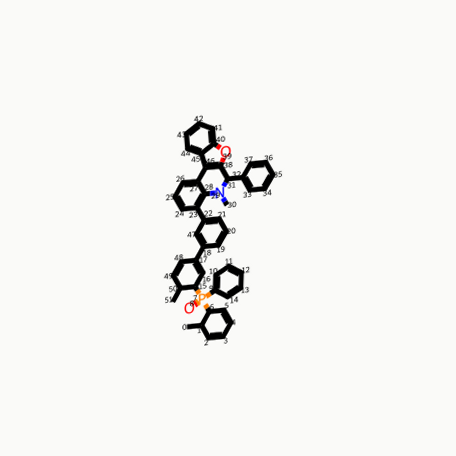 CC1C=CC=CC1P(=O)(c1ccccc1)C1C=C(c2cccc(-c3cccc4c3N(C)C(c3ccccc3)c3oc5ccccc5c3-4)c2)C=CC1C